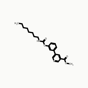 CCCCCCCCNC(=O)Oc1cccc(-c2cncc(C(=O)OC)c2)c1